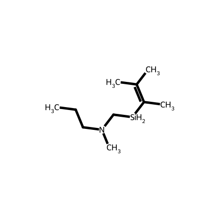 CCCN(C)C[SiH2]C(C)=C(C)C